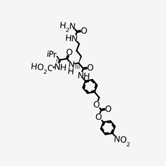 CC(C)[C@H](NC(=O)O)C(=O)N[C@@H](CCCNC(N)=O)C(=O)Nc1ccc(COC(=O)Oc2ccc([N+](=O)[O-])cc2)cc1